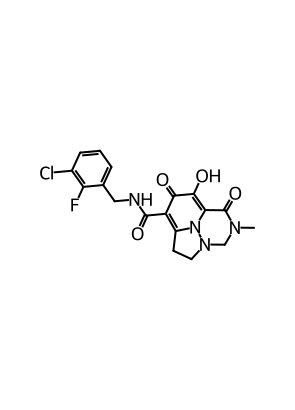 CN1CN2CCc3c(C(=O)NCc4cccc(Cl)c4F)c(=O)c(O)c(n32)C1=O